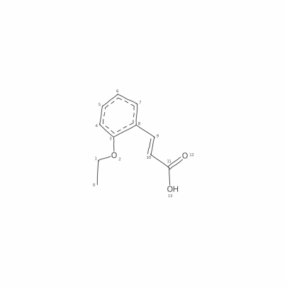 CCOc1ccccc1/C=C/C(=O)O